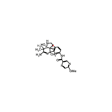 COc1cnc(C(=O)Nc2ccc(F)c([C@@]3(C)N=C(N)C(C)(C)S4(O)NCC[C@H]34)n2)cn1